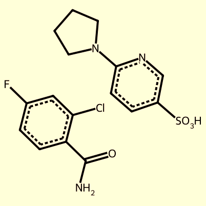 NC(=O)c1ccc(F)cc1Cl.O=S(=O)(O)c1ccc(N2CCCC2)nc1